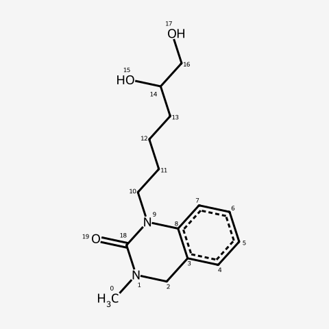 CN1Cc2ccccc2N(CCCCC(O)CO)C1=O